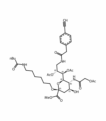 C#Cc1ccc(CC(=O)NC[C@@H](OC(C)=O)[C@@H](OC(C)=O)[C@@H]2O[C@@](OCCCCCCNC(=O)CCCC)(C(=O)OC)C[C@H](O)[C@H]2NC(=O)COC(C)=O)cc1